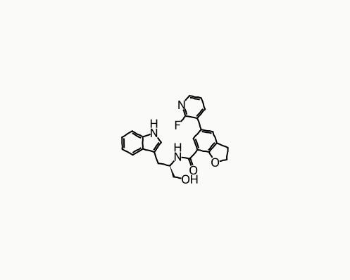 O=C(N[C@@H](CO)Cc1c[nH]c2ccccc12)c1cc(-c2cccnc2F)cc2c1OCC2